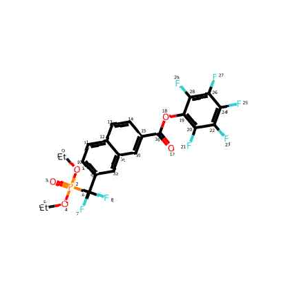 CCOP(=O)(OCC)C(F)(F)c1ccc2ccc(C(=O)Oc3c(F)c(F)c(F)c(F)c3F)cc2c1